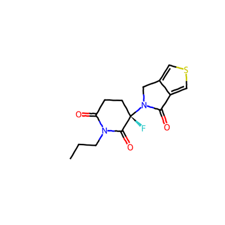 CCCN1C(=O)CC[C@](F)(N2Cc3cscc3C2=O)C1=O